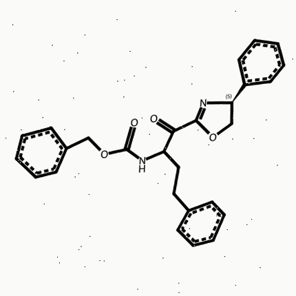 O=C(NC(CCc1ccccc1)C(=O)C1=N[C@@H](c2ccccc2)CO1)OCc1ccccc1